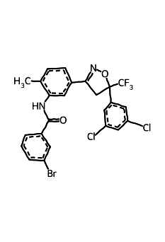 Cc1ccc(C2=NOC(c3cc(Cl)cc(Cl)c3)(C(F)(F)F)C2)cc1NC(=O)c1cccc(Br)c1